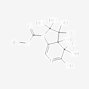 CC(C)(C)OC(=O)N1C2=CN=C(O)C(O)(O)C2(O)C(O)(O)C1(O)O